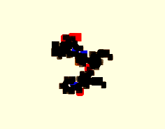 Cc1ccc(OCc2ccc(C(=O)N3CCCCC3)cc2C)c(-c2csc(N3CC[C@](C)(C(=O)O)[C@@H](C)C3)n2)c1